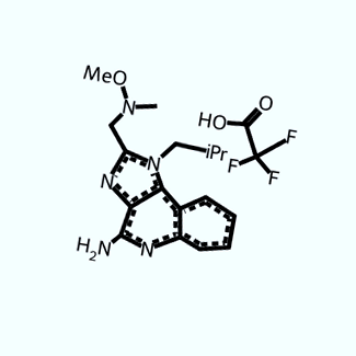 CON(C)Cc1nc2c(N)nc3ccccc3c2n1CC(C)C.O=C(O)C(F)(F)F